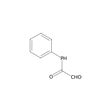 O=[C]C(=O)Pc1ccccc1